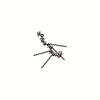 CCCCCCCCCCCCCCc1cc(-c2ccc(-c3ccc(C(CC)(CC)c4cccc(C(F)(F)F)c4)s3)s2)sc1-c1nc(CCCCCCCCCCCCCC)c(-c2sc(-c3sc(C(C)(CC)c4cccc(C(F)(F)F)c4)cc3CCCCCCCCCCCCCC)nc2CCCCCCCCCCCCCC)s1